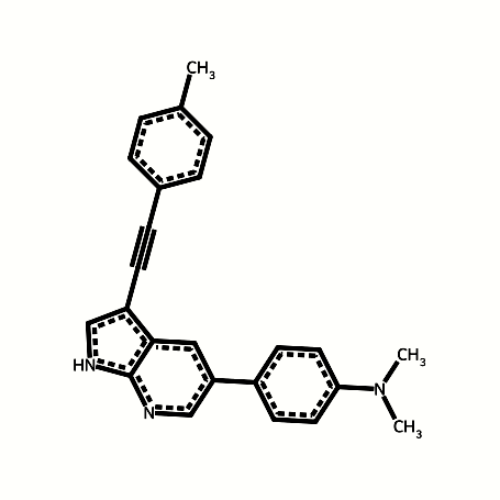 Cc1ccc(C#Cc2c[nH]c3ncc(-c4ccc(N(C)C)cc4)cc23)cc1